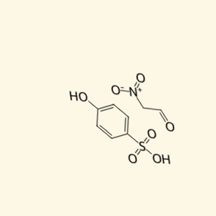 O=CC[N+](=O)[O-].O=S(=O)(O)c1ccc(O)cc1